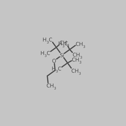 CCCO[Si](C(C)(C)C)(C(C)(C)C)C(C)(C)C